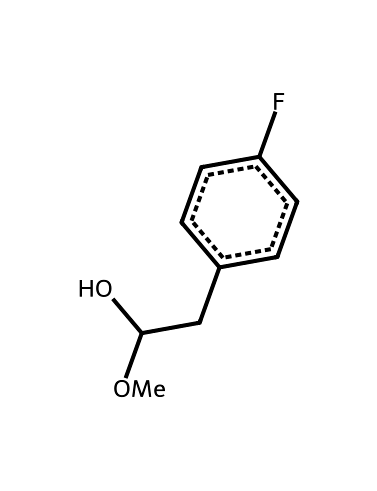 COC(O)Cc1ccc(F)cc1